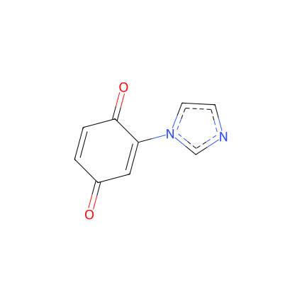 O=C1C=CC(=O)C(n2ccnc2)=C1